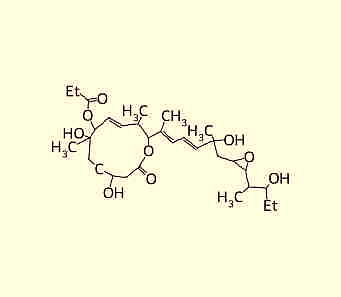 CCC(=O)OC1/C=C/C(C)C(/C(C)=C/C=C/C(C)(O)CC2OC2C(C)C(O)CC)OC(=O)CC(O)CCC1(C)O